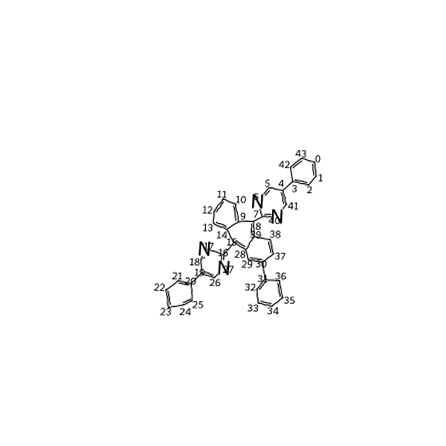 c1ccc(-c2cnc(-c3c4ccccc4c(-c4ncc(-c5ccccc5)cn4)c4cc(-c5ccccc5)ccc34)nc2)cc1